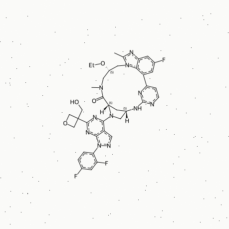 CCO[C@H]1CN(C)C(=O)[C@@H]2C[C@@H](CN2c2nc(C3(CO)COC3)nc3c2cnn3-c2ccc(F)cc2F)Nc2nccc(n2)-c2cc(F)cc3nc(C)n(c23)C1